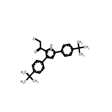 CC(C)(C)c1ccc(-c2cc(-c3ccc(C(C)(C)C)cc3)c(C(=O)CCl)[nH]2)cc1